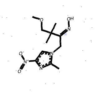 COCC(C)(C)/C(Cn1cc([N+](=O)[O-])nc1C)=N\O